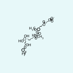 COc1cc(/C=C/COC(=O)CCCO[N+](=O)[O-])ccc1OC(=O)C(C)NC(=O)CCC/C=C\C[C@@H]1[C@@H](/C=C/[C@@H](O)COc2cccc(C(F)(F)F)c2)[C@H](O)C[C@@H]1O